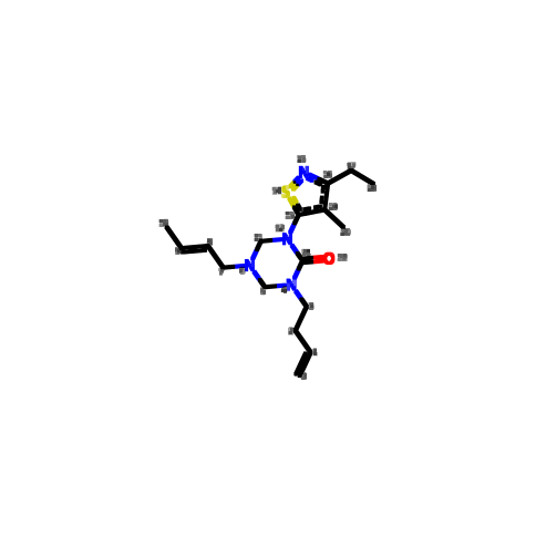 C=CCCN1CN(C/C=C/C)CN(c2snc(CC)c2C)C1=O